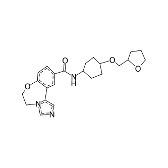 O=C(NC1CCC(OCC2CCCO2)CC1)c1ccc2c(c1)-c1cncn1CCO2